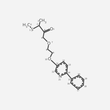 CSC(C)C(=O)COCCOc1ccc(-c2ccccc2)nc1